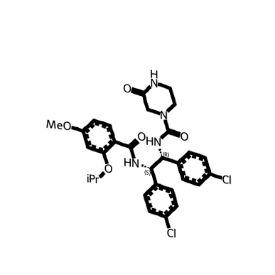 COc1ccc(C(=O)N[C@@H](c2ccc(Cl)cc2)[C@H](NC(=O)N2CCNC(=O)C2)c2ccc(Cl)cc2)c(OC(C)C)c1